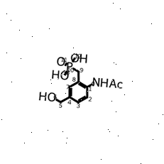 CC(=O)Nc1ccc(CO)cc1CP(=O)(O)O